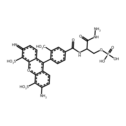 N=c1ccc2c(-c3ccc(C(=O)NC(COP(=O)(O)O)C(=O)NN)cc3C(=O)O)c3ccc(N)c(S(=O)(=O)O)c3oc-2c1S(=O)(=O)O